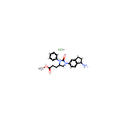 COC(=O)CCC1CN(c2ccc3c(c2)CCC3N)C(=O)N1c1ccccc1.Cl